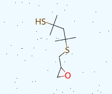 CC(C)(S)CC(C)(C)SCC1CO1